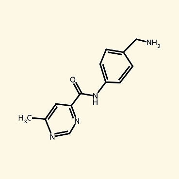 Cc1cc(C(=O)Nc2ccc(CN)cc2)ncn1